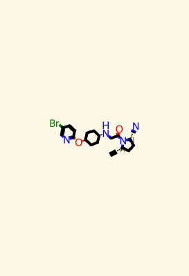 C#C[C@H]1CC[C@@H](C#N)N1C(=O)CN[C@H]1CC[C@H](Oc2ccc(Br)cn2)CC1